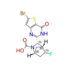 O=C(O)N1[C@@H]2C[C@H]([C@H]1c1nc3cc(Br)sc3c(=O)[nH]1)[C@@H](F)C2